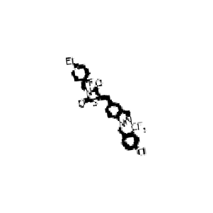 CCN1CCC(F)(CN2C(=O)S/C(=C\c3ccc4c(cnn4Cc4ccc(Cl)cc4C(F)(F)F)c3)C2=O)CC1